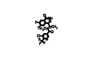 C[C@H](c1n[nH]c(=O)c2cc(F)c(F)cc12)N(C)C(=O)c1cnc(C(F)(F)F)c(Cl)c1